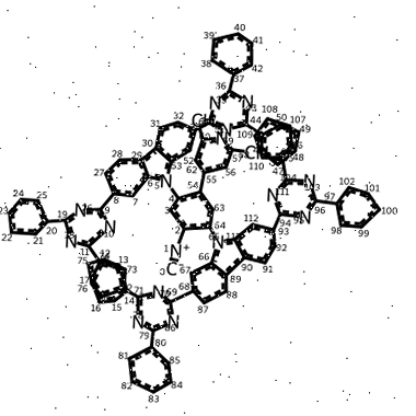 [C-]#[N+]c1cc(-n2c3cc(-c4nc(-c5ccccc5)nc(-c5ccccc5)n4)ccc3c3ccc(-c4nc(-c5ccccc5)nc(-c5ccccc5)n4)cc32)c(-c2cc(C)nc(C)c2)cc1-n1c2cc(-c3nc(-c4ccccc4)nc(-c4ccccc4)n3)ccc2c2ccc(-c3nc(-c4ccccc4)nc(-c4ccccc4)n3)cc21